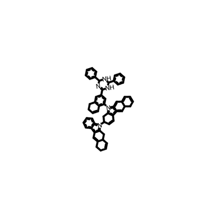 C1=CCC2C=c3c4c(n(-c5cc(C6=NC(c7ccccc7)NC(c7ccccc7)N6)cc6c5C=CCC6)c3=CC2=C1)CC(n1c2c(c3ccccc31)C=C1CCC=CC1C2)C=C4